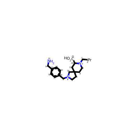 CC(C)CN1CCC2(CCN(Cc3ccc(CN)cc3)C2)CC1C(=O)O